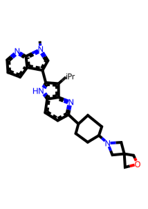 CC(C)c1c(-c2cn(C)c3ncccc23)[nH]c2ccc(C3CCC(N4CC5(COC5)C4)CC3)nc12